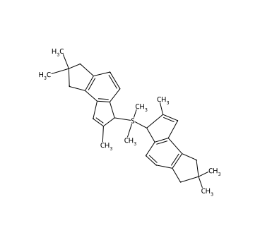 CC1=Cc2c(ccc3c2CC(C)(C)C3)C1S(C)(C)C1C(C)=Cc2c1ccc1c2CC(C)(C)C1